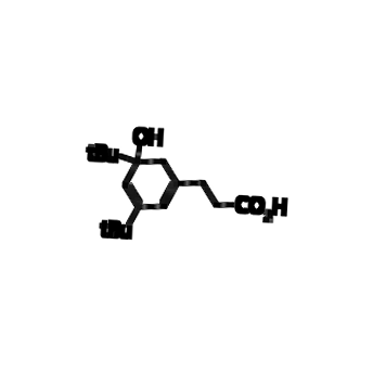 CC(C)(C)C1=CC(O)(C(C)(C)C)CC(CCC(=O)O)=C1